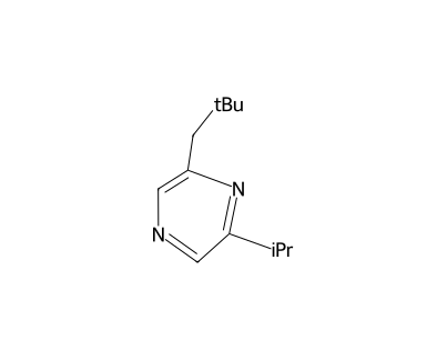 CC(C)c1cncc(CC(C)(C)C)n1